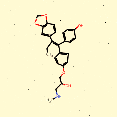 CC/C(=C(/c1ccc(O)cc1)c1ccc(OCC(O)CNC)cc1)c1ccc2c(c1)OCO2